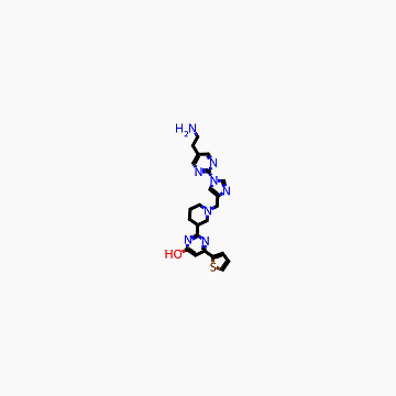 NCCc1cnc(-n2cnc(CN3CCCC(c4nc(O)cc(-c5cccs5)n4)C3)c2)nc1